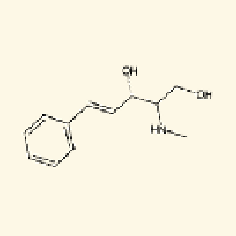 CNC(CO)[C@@H](O)/C=C/c1ccccc1